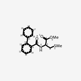 COC(=O)C(CSC)NC(=O)c1ccccc1-c1ccccc1